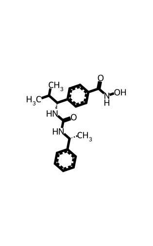 CC(C)[C@@H](NC(=O)N[C@H](C)c1ccccc1)c1ccc(C(=O)NO)cc1